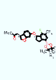 COC(=O)C[C@@H]1COc2cc(O[C@@H]3CCc4c(B5OC(C)(C)C(C)(C)O5)cc(C(F)(F)F)c(F)c43)ccc21